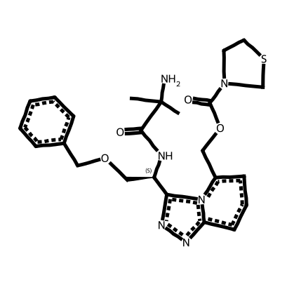 CC(C)(N)C(=O)N[C@H](COCc1ccccc1)c1nnc2cccc(COC(=O)N3CCSC3)n12